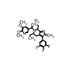 CCC1Cc2c(nn(C)c2-c2cc(F)c(F)c(F)c2)C(CC)N1C(=O)c1cnc(OC)c(OC)c1